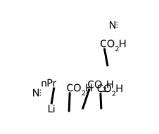 CC(=O)O.CC(=O)O.CC(=O)O.CC(=O)O.[Li][CH2]CC.[N].[N]